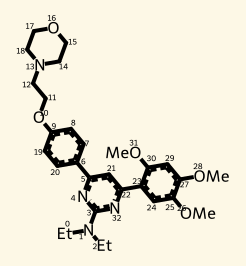 CCN(CC)c1nc(-c2ccc(OCCN3CCOCC3)cc2)cc(-c2cc(OC)c(OC)cc2OC)n1